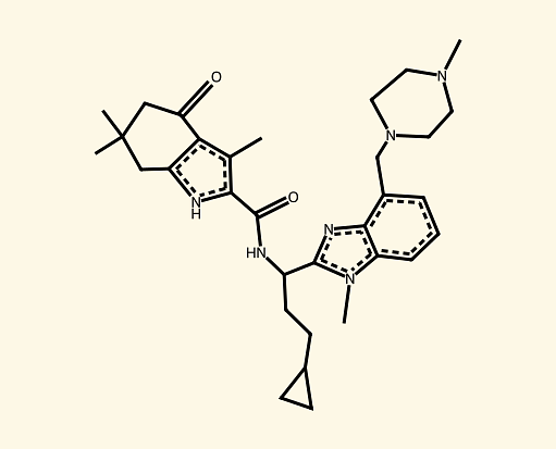 Cc1c(C(=O)NC(CCC2CC2)c2nc3c(CN4CCN(C)CC4)cccc3n2C)[nH]c2c1C(=O)CC(C)(C)C2